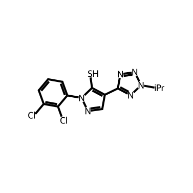 CC(C)n1nnc(-c2cnn(-c3cccc(Cl)c3Cl)c2S)n1